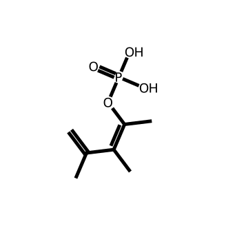 C=C(C)C(C)=C(C)OP(=O)(O)O